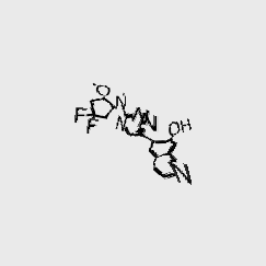 CO[C@H]1CC(F)(F)C[C@@H]1N(C)c1ncc(-c2cc3ccncc3cc2O)nn1